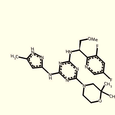 COC[C@H](Nc1nc(Nc2cc(C)[nH]n2)nc(N2CCOC(C)(C)C2)n1)c1ncc(F)cc1F